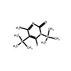 C[Si](C)(C)c1c(N)nc(=O)n([Si](C)(C)C)c1F